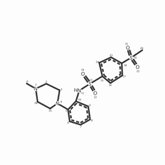 CN1CCN(c2ccccc2NS(=O)(=O)c2ccc(S(C)(=O)=O)cc2)CC1